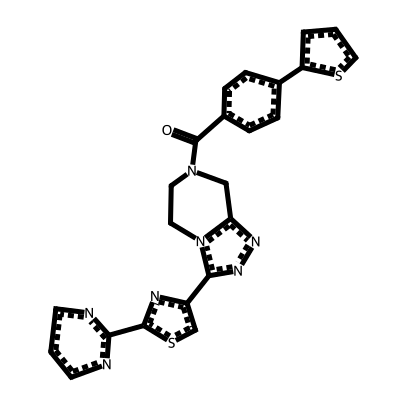 O=C(c1ccc(-c2cccs2)cc1)N1CCn2c(nnc2-c2csc(-c3ncccn3)n2)C1